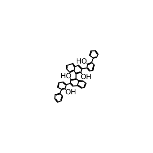 Oc1c(-c2ccccc2)cccc1-c1cc2ccccc2c(-c2c(O)c(-c3cccc(-c4ccccc4)c3O)cc3ccccc23)c1O